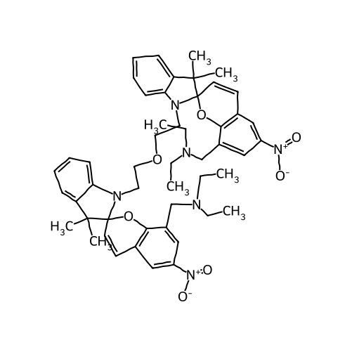 CCN(CC)Cc1cc([N+](=O)[O-])cc2c1OC1(C=C2)N(CCOCCN2c3ccccc3C(C)(C)C23C=Cc2cc([N+](=O)[O-])cc(CN(CC)CC)c2O3)c2ccccc2C1(C)C